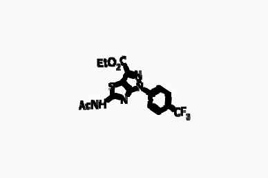 CCOC(=O)c1nn(-c2ccc(C(F)(F)F)cc2)c2nc(NC(C)=O)sc12